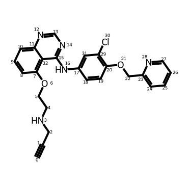 C#CCNCCOc1cccc2ncnc(Nc3ccc(OCc4ccccn4)c(Cl)c3)c12